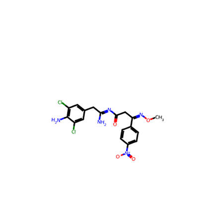 CO/N=C(/CC(=O)/N=C(\N)Cc1cc(Cl)c(N)c(Cl)c1)c1ccc([N+](=O)[O-])cc1